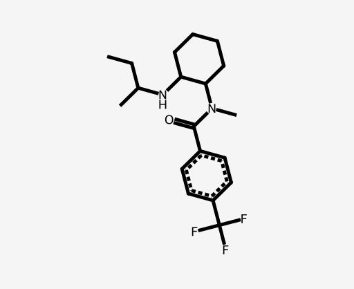 CCC(C)NC1CCCCC1N(C)C(=O)c1ccc(C(F)(F)F)cc1